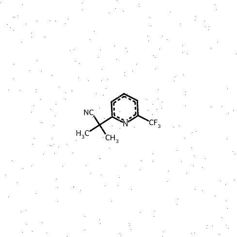 CC(C)(C#N)c1cccc(C(F)(F)F)n1